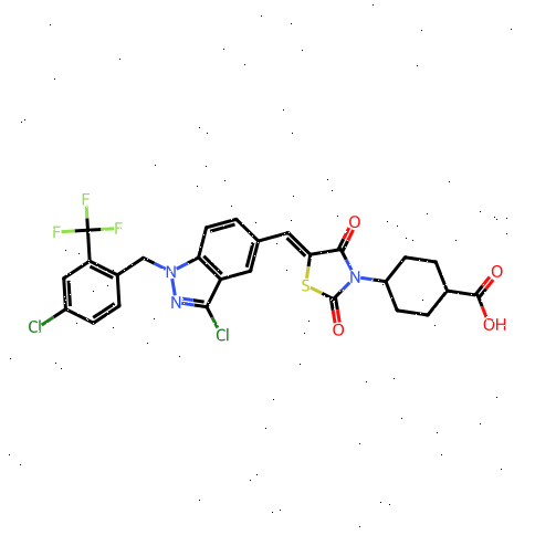 O=C(O)C1CCC(N2C(=O)SC(=Cc3ccc4c(c3)c(Cl)nn4Cc3ccc(Cl)cc3C(F)(F)F)C2=O)CC1